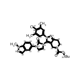 Cc1cc(-n2nc3c(c2-n2ccn(-c4ccc5c(cnn5C)c4)c2=O)CN(C(=O)OC(C)(C)C)CC3)cc(C)c1Cl